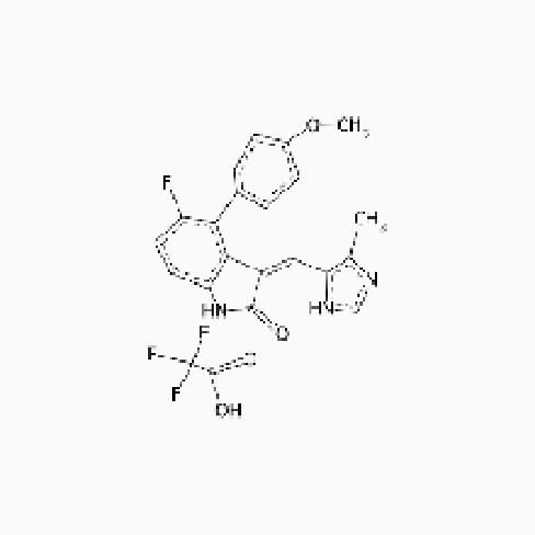 COc1ccc(-c2c(F)ccc3c2C(=Cc2[nH]cnc2C)C(=O)N3)cc1.O=C(O)C(F)(F)F